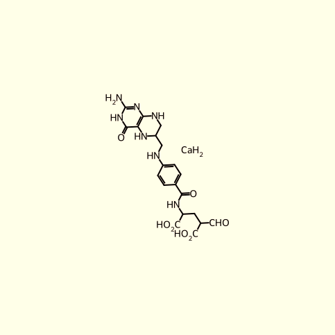 Nc1nc2c(c(=O)[nH]1)NC(CNc1ccc(C(=O)NC(CC(C=O)C(=O)O)C(=O)O)cc1)CN2.[CaH2]